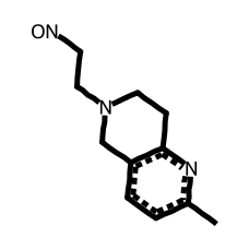 Cc1ccc2c(n1)CCN(CCN=O)C2